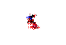 COC(=O)Cc1cn([C@@H]2O[C@H](COP3(=O)OP(=O)(O)OP(=O)(O)O3)C(O)C2OC)c(=O)[nH]c1=O